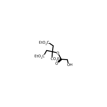 CCOC(=O)CC(CC(=O)OCC)(OC(=O)CO)C(=O)OCC